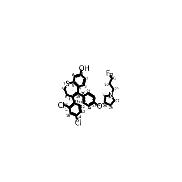 Oc1ccc2c(c1)SCCC(c1ccc(Cl)cc1Cl)=C2c1ccc(O[C@H]2CCN(CCCF)C2)cc1